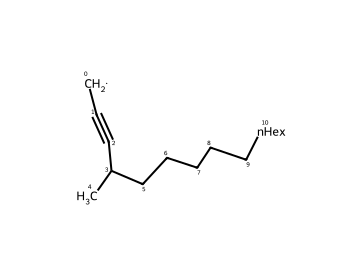 [CH2]C#CC(C)CCCCCCCCCC[CH2]